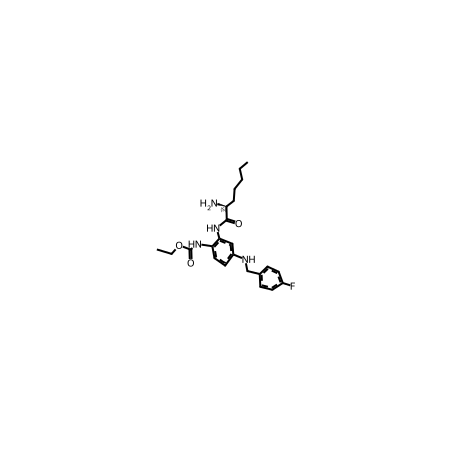 CCCCC[C@H](N)C(=O)Nc1cc(NCc2ccc(F)cc2)ccc1NC(=O)OCC